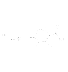 CCc1c(C#CCO)ccc(C(N)=O)c1CC